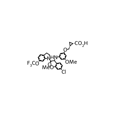 COc1cc(NC(C(=O)N2CCc3ccc(OC(F)(F)F)cc32)c2ccc(Cl)cc2OC)cc(OC[C@H]2C[C@@H]2C(=O)O)c1